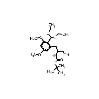 CCOC(OCC)c1c(CC(CO)NC(=O)OC(C)(C)C)cc(OC)cc1OC